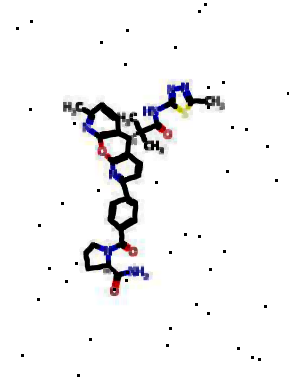 Cc1ccc2c(n1)Oc1nc(-c3ccc(C(=O)N4CCC[C@@H]4C(N)=O)cc3)ccc1[C@H]2C(C)(C)C(=O)Nc1nnc(C)s1